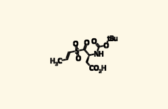 CC=CS(=O)(=O)C(=O)[C@H](CC(=O)O)NC(=O)OC(C)(C)C